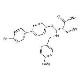 COC(=O)/C(N=N)=C(/NCc1ccc(OC)cc1)Oc1ccc(-c2ccc(C(C)C)cc2)cc1